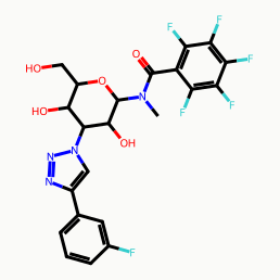 CN(C(=O)c1c(F)c(F)c(F)c(F)c1F)C1OC(CO)C(O)C(n2cc(-c3cccc(F)c3)nn2)C1O